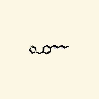 [CH2]/C=C/C=C/c1ccc(Cn2ccnc2)cc1